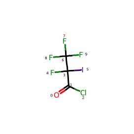 O=C(Cl)C(F)(I)C(F)(F)F